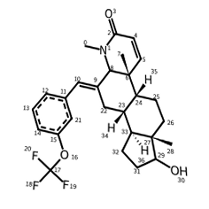 CN1C(=O)C=C[C@@]2(C)C1C(=Cc1cccc(OC(F)(F)F)c1)C[C@@H]1[C@H]2CC[C@]2(C)C(O)CC[C@@H]12